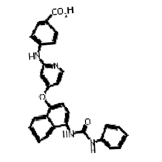 O=C(Nc1ccccc1)Nc1ccc(Oc2ccnc(Nc3ccc(C(=O)O)cc3)c2)c2ccccc12